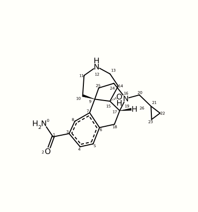 NC(=O)c1ccc2c(c1)[C@@]13CCNCC[C@@]1(O)[C@@H](C2)N(CC1CC1)CC3